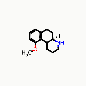 COc1cccc2c1C1CCCN[C@@H]1CC2